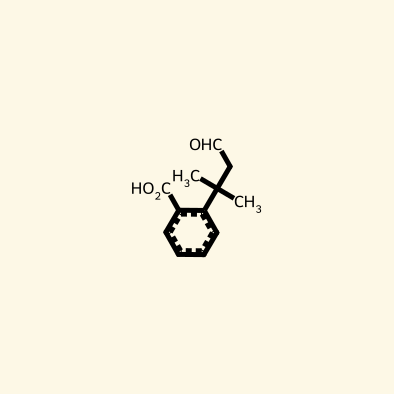 CC(C)(CC=O)c1ccccc1C(=O)O